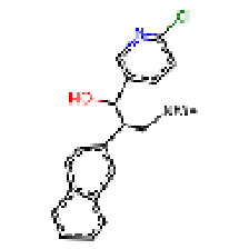 CNC[C@@H](c1ccc2ccccc2c1)C(O)c1ccc(Cl)nc1